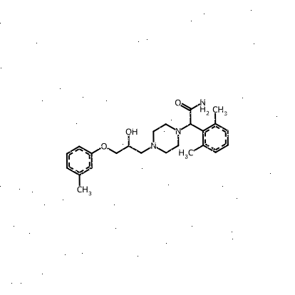 Cc1cccc(OCC(O)CN2CCN(C(C(N)=O)c3c(C)cccc3C)CC2)c1